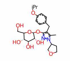 Cc1c(Cc2ccc(OC(C)C)cc2)c(O[C@@H]2OC(CO)[C@@H](O)[C@H](O)[C@H]2O)nn1C1CCOC1